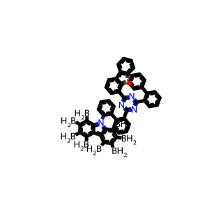 Bc1c(B)c(B)c2c(c1B)c1c(B)c(B)c(B)c(B)c1n2-c1ccccc1-c1ccccc1-c1nc(-c2ccccc2-c2ccccc2)nc(-c2cccc3c2sc2ccccc23)n1